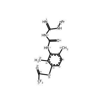 CCCNC(=N)NC(=O)Nc1c(C)ccc(OC(=O)C(F)(F)F)c1C